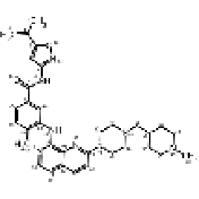 C=C(C)c1cc(NC(=O)c2ccc(C)c(Nc3ncnc4ccc(N5CCN(CC6CCN(C)CC6)CC5)nc34)c2)no1